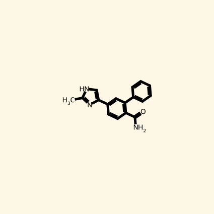 Cc1nc(-c2ccc(C(N)=O)c(-c3ccccc3)c2)c[nH]1